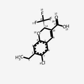 CCc1cc2c(cc1Cl)C=C(C(=O)O)[C@@H](C(F)(F)F)O2